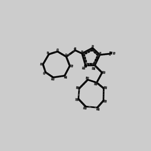 Fc1cc(CC2CCCCCCC2)sc1CC1CCCCCCC1